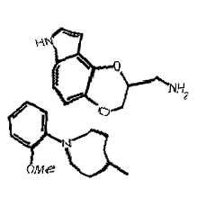 COc1ccccc1N1CCC(C)CC1.NCC1COc2ccc3[nH]ccc3c2O1